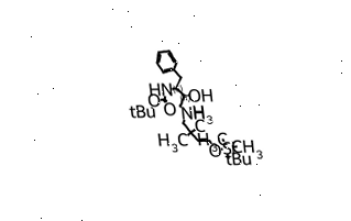 CC(C)(CCO[Si](C)(C)C(C)(C)C)CNC[C@@H](O)[C@H](Cc1ccccc1)NC(=O)OC(C)(C)C